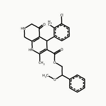 COC(COC(=O)C1=C(C)NC2=C(C(=O)CNC2)C1c1cccc(Cl)c1C)c1ccccc1